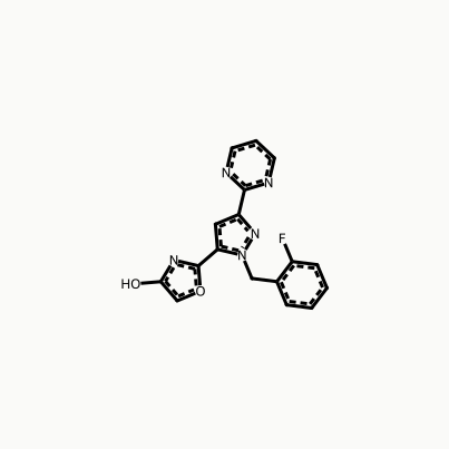 Oc1coc(-c2cc(-c3ncccn3)nn2Cc2ccccc2F)n1